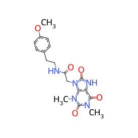 COc1ccc(CCNC(=O)Cn2c(=O)[nH]c3c(=O)n(C)c(=O)n(C)c32)cc1